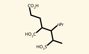 CCCC(C(CCC(=O)O)C(=O)O)C(C)S(=O)(=O)O